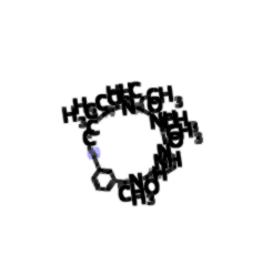 CC(C)[C@@H]1NC(=O)[C@H](C)C(C)CC/C=C/c2cccc(c2)[C@@H](C)NC(=O)[C@@H]2CCCN(N2)C(=O)C(C)(C)NC1=O